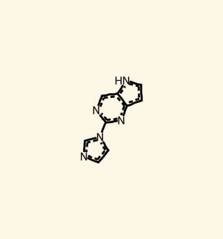 c1cn(-c2ncc3[nH]ccc3n2)cn1